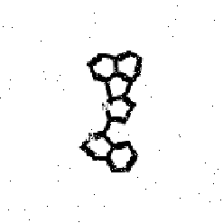 c1ccc2c(-c3ccc4c(n3)-c3cccc5cccc-4c35)nccc2c1